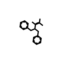 CC(C)=C(C)C(Cc1ccccc1)Cc1ccccc1